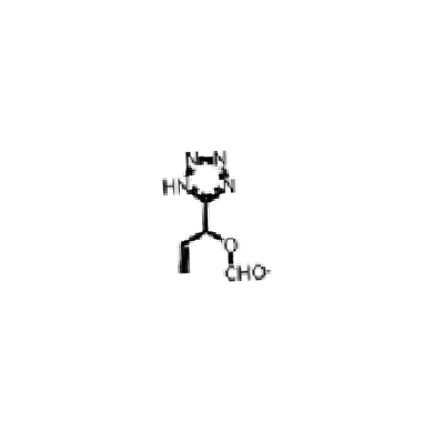 C=CC(O[C]=O)c1nnn[nH]1